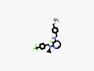 CSCc1ccc(CN/C2=C(F)/C(N(Cc3ccc(C(F)(F)F)cc3)C3CC3)=N\C=C/CC2)cc1